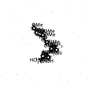 CN1CC[C@]23c4c5ccc(O)c4O[C@H]2[C@@H](O)C=C[C@H]3[C@H]1C5.CN1CC[C@]23c4c5ccc(O)c4O[C@H]2[C@@H](O)C=C[C@H]3[C@H]1C5.COC(=O)[C@H]1[C@H]2C[C@@H]3c4[nH]c5cc(OC)ccc5c4CCN3C[C@H]2C[C@@H](OC(=O)c2cc(OC)c(OC)c(OC)c2)[C@@H]1OC.O=S(=O)(O)O